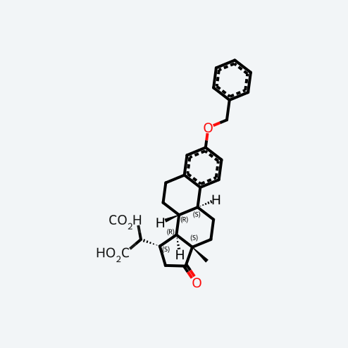 C[C@]12CC[C@@H]3c4ccc(OCc5ccccc5)cc4CC[C@H]3[C@@H]1[C@@H](C(C(=O)O)C(=O)O)CC2=O